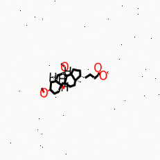 COC(=O)CCC[C@H]1CC[C@H]2[C@@H]3[C@@H](OC)C[C@@H]4C[C@H](OC)CC[C@]4(C)[C@H]3CC[C@]12C